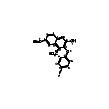 COc1ccc2nc(O)c(Oc3ccc(F)cc3)c(C(=O)O)c2c1